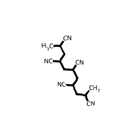 CC(C#N)CC(C#N)CC(C#N)CC(C#N)CC(C)C#N